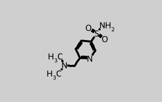 CN(C)Cc1ccc(S(N)(=O)=O)cn1